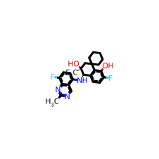 Cc1ncc2c(N[C@H]3c4ccc(F)c(O)c4C4(CCCCC4)C[C@@]3(O)C(F)(F)F)ccc(F)c2n1